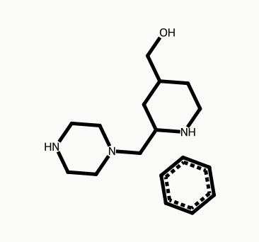 OCC1CCNC(CN2CCNCC2)C1.c1ccccc1